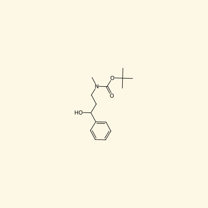 CN(CCC(O)c1ccccc1)C(=O)OC(C)(C)C